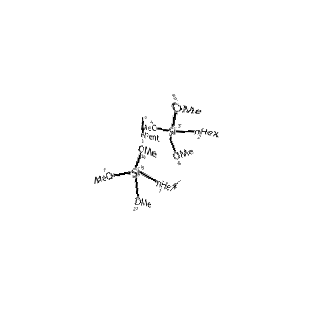 CCCCCC.CCCCCC[Si](OC)(OC)OC.CCCCCC[Si](OC)(OC)OC